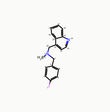 BN(Cc1ccc(I)cc1)Cc1ccnc2ccccc12